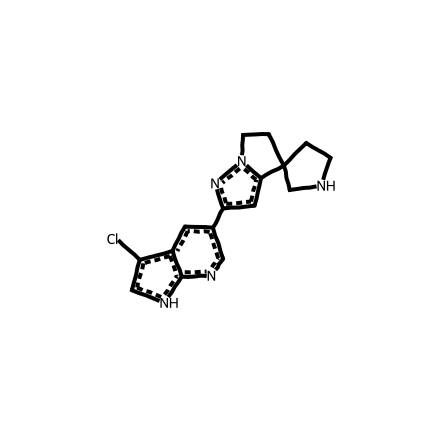 Clc1c[nH]c2ncc(-c3cc4n(n3)CCC43CCNC3)cc12